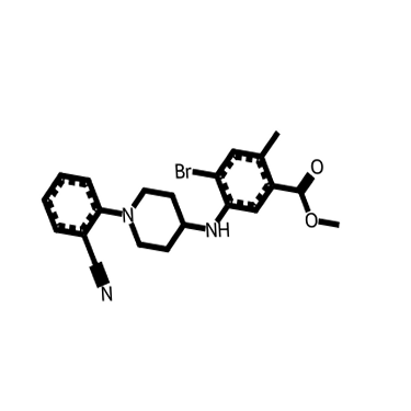 COC(=O)c1cc(NC2CCN(c3ccccc3C#N)CC2)c(Br)cc1C